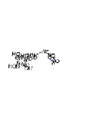 C=C(O)CN1CCN(CC(=O)O)CCN(CC(=O)O)CCN(CC(=O)O)CC1Cc1ccc(NC(=O)CCCCC[N+](C)(C)CCC[n+]2ccc(/C=C3\Sc4ccccc4N3C)c3ccccc32)cc1